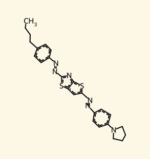 CCCCc1ccc(N=Nc2nc3sc(N=Nc4ccc(N5CCCC5)cc4)cc3s2)cc1